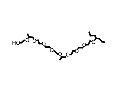 CCCC(CCC)OCCOCCOCCOCC(C)OCCOCCOCCOCC(C)OCCO